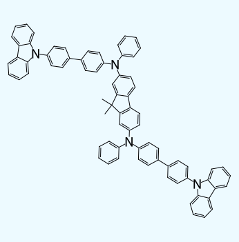 CC1(C)c2cc(N(c3ccccc3)c3ccc(-c4ccc(-n5c6ccccc6c6ccccc65)cc4)cc3)ccc2-c2ccc(N(c3ccccc3)c3ccc(-c4ccc(-n5c6ccccc6c6ccccc65)cc4)cc3)cc21